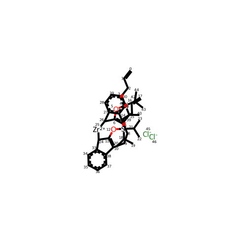 C=CCC[Si](OC1=C2CCC3=C(O[Si](CCC=C)(C(C)C)C(C)C)[CH]([Zr+2][CH]1c1ccccc12)c1ccccc13)(C(C)C)C(C)C.[Cl-].[Cl-]